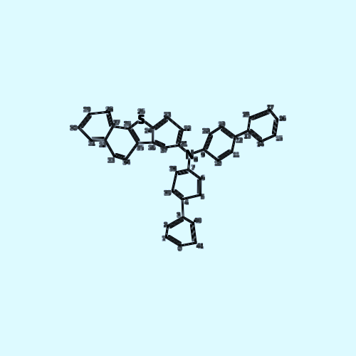 c1ccc(-c2ccc(N(c3ccc(-c4ccccc4)cc3)c3ccc4sc5c6ccccc6ccc5c4c3)cc2)cc1